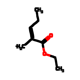 [CH2]/C(=C/CC)C(=O)OCC